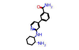 NC(=O)c1cccc(-c2ccnc(N[C@@H]3CCCC[C@H]3N)c2)c1